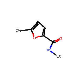 CCNC(=O)c1ccc(N=O)o1